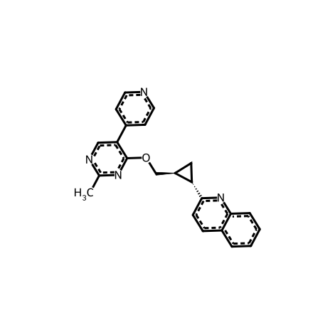 Cc1ncc(-c2ccncc2)c(OC[C@H]2C[C@@H]2c2ccc3ccccc3n2)n1